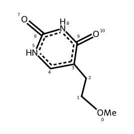 COCCc1c[nH]c(=O)[nH]c1=O